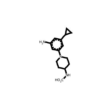 Nc1cc(C2CC2)cc(N2CCC(NC(=O)O)CC2)c1